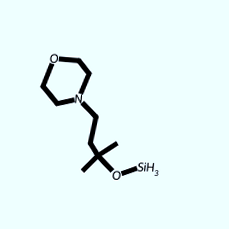 CC(C)(CCN1CCOCC1)O[SiH3]